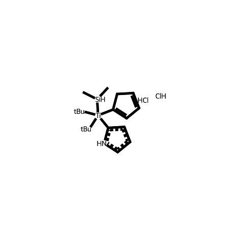 C[SiH](C)[Ti]([C]1=CC=CC1)([c]1ccc[nH]1)([C](C)(C)C)[C](C)(C)C.Cl.Cl